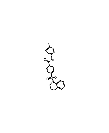 Cc1ccc(NC(=O)c2ccc(S(=O)(=O)N3CCCc4ccccc43)cc2)cc1